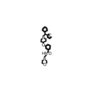 O=C(NCCN1CCOCC1)c1cccc(OC2CCN(CC(c3ccccc3)c3ccccc3)CC2)c1